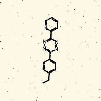 CCc1ccc(-c2nnc(-c3ccccn3)nn2)cc1